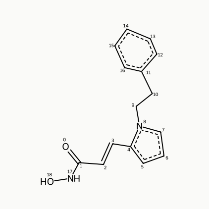 O=C(/C=C/c1cccn1CCc1ccccc1)NO